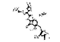 Nc1nc(C(=NOCC(=O)[O-])C(=O)NC2C(=O)N3C(C(=O)[O-])=C(CSc4snc(O)c4C(=O)[O-])CS[C@@H]23)ns1.[Na+].[Na+].[Na+]